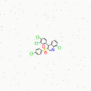 O=S(=O)(c1ccc(Cl)cc1)c1cnc2c(Cl)cccc2c1-c1ccc(Cl)c(Cl)c1